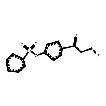 CCNCC(=O)c1ccc(OS(=O)(=O)c2ccccc2)cc1